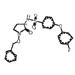 O=C1[C@H](NS(=O)(=O)c2ccc(Oc3ccc(F)cc3)cc2)CCN1OCc1ccccc1